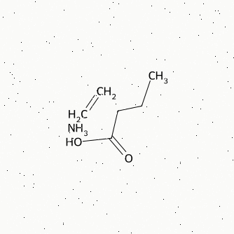 C=C.CCCC(=O)O.N